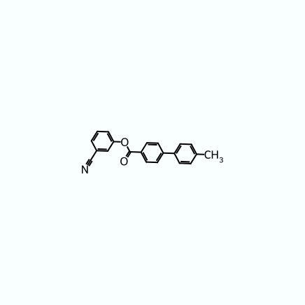 Cc1ccc(-c2ccc(C(=O)Oc3cccc(C#N)c3)cc2)cc1